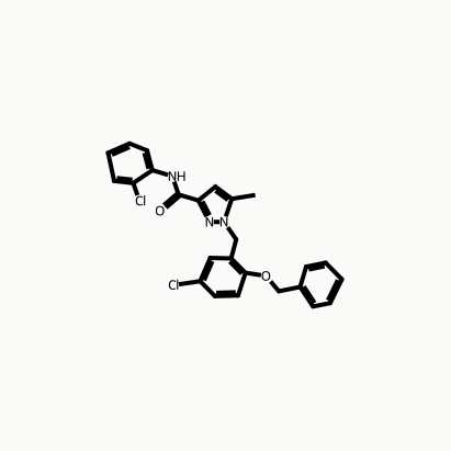 Cc1cc(C(=O)Nc2ccccc2Cl)nn1Cc1cc(Cl)ccc1OCc1ccccc1